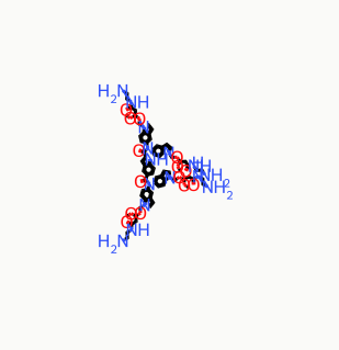 COC(CC(=O)NCCN)OCn1ccc2cc(N(C(=O)c3ccc4[nH]c(C(=O)N(c5ccc6c(ccn6COC(CC(=O)NCCN)OC)c5)c5ccc6c(ccn6COC(CC(=O)NCCN)OC)c5)cc4c3)c3ccc4c(ccn4COC(CC(=O)NCCN)OC)c3)ccc21